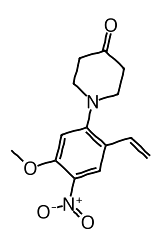 C=Cc1cc([N+](=O)[O-])c(OC)cc1N1CCC(=O)CC1